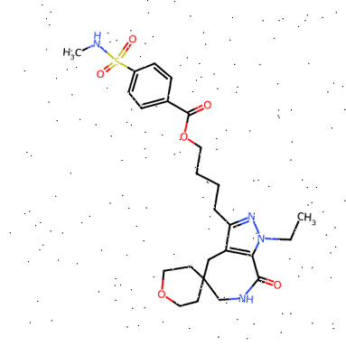 CCn1nc(CCCCOC(=O)c2ccc(S(=O)(=O)NC)cc2)c2c1C(=O)NCC1(CCOCC1)C2